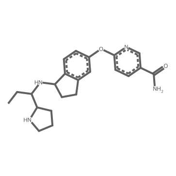 CCC(NC1CCc2cc(Oc3ccc(C(N)=O)cn3)ccc21)C1CCCN1